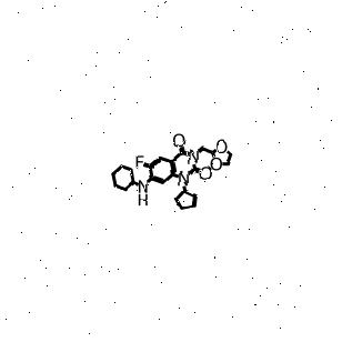 O=c1c2cc(F)c(NC3CCCCC3)cc2n(C2CCCC2)c(=O)n1CC1OCCO1